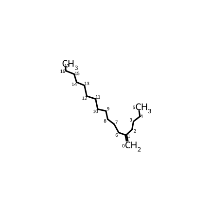 C=C(CCCC)CCCCCCCCCCCC